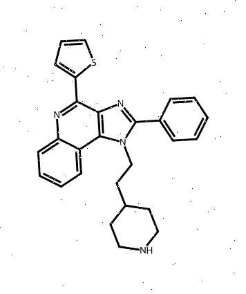 c1ccc(-c2nc3c(-c4cccs4)nc4ccccc4c3n2CCC2CCNCC2)cc1